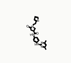 Cc1cc(C)nc(Nc2ccc(NC(=O)C3CC(=O)N(CCc4cccs4)C3)cc2)n1